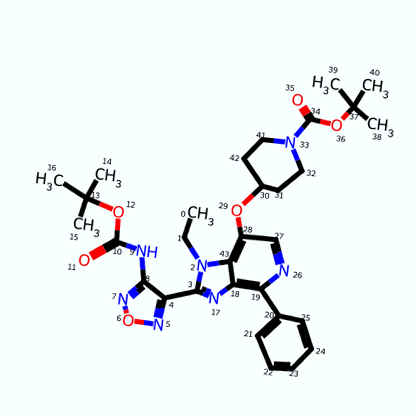 CCn1c(-c2nonc2NC(=O)OC(C)(C)C)nc2c(-c3ccccc3)ncc(OC3CCN(C(=O)OC(C)(C)C)CC3)c21